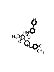 Cc1cc(CN2CCC(N3C(=O)N(C)C[C@@H]3C(=O)Nc3cccc(-c4ccncc4)c3)CC2)ccc1Cl